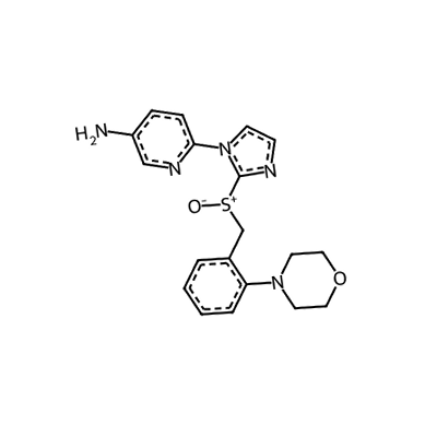 Nc1ccc(-n2ccnc2[S+]([O-])Cc2ccccc2N2CCOCC2)nc1